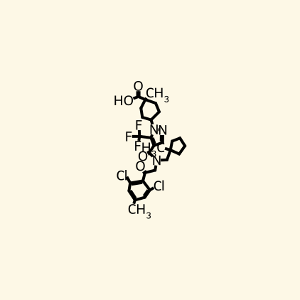 Cc1cc(Cl)c(C(=O)CN(CC2(C)CCCC2)C(=O)c2cnn(C3CCC(C)(C(=O)O)CC3)c2C(F)(F)F)c(Cl)c1